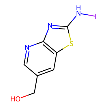 OCc1cnc2nc(NI)sc2c1